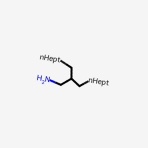 CCCCCCCCC(CN)CCCCCCCC